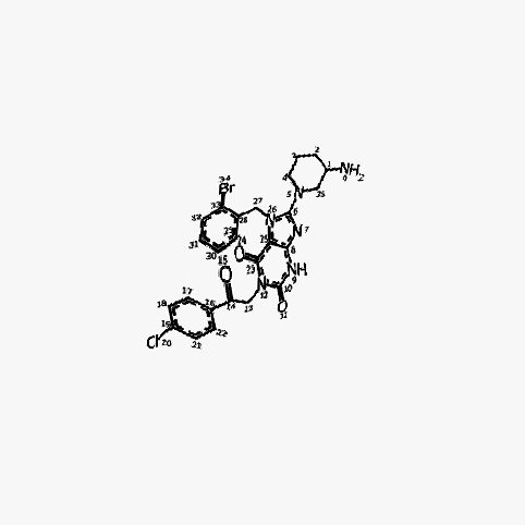 NC1CCCN(c2nc3[nH]c(=O)n(CC(=O)c4ccc(Cl)cc4)c(=O)c3n2Cc2ccccc2Br)C1